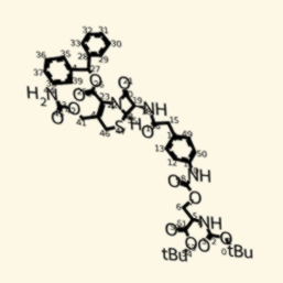 CC(C)(C)OC(=O)NC(COC(=O)Nc1ccc(CC(=O)N[C@@H]2C(=O)N3C(C(=O)OC(c4ccccc4)c4ccccc4)=C(COC(N)=O)CS[C@H]23)cc1)C(=O)OC(C)(C)C